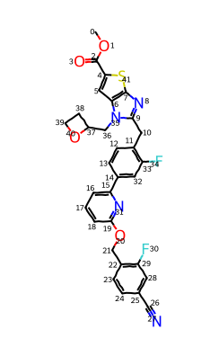 COC(=O)c1cc2c(nc(Cc3ccc(-c4cccc(OCc5ccc(C#N)cc5F)n4)cc3F)n2CC2CCO2)s1